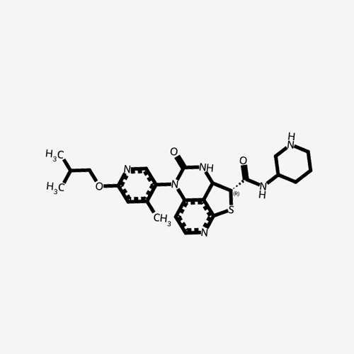 Cc1cc(OCC(C)C)ncc1N1C(=O)NC2c3c1ccnc3S[C@H]2C(=O)NC1CCCNC1